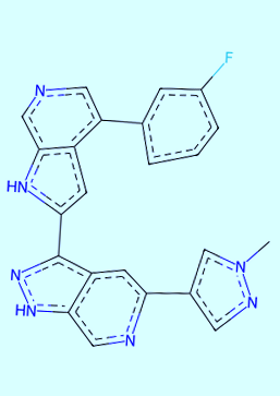 Cn1cc(-c2cc3c(-c4cc5c(-c6cccc(F)c6)cncc5[nH]4)n[nH]c3cn2)cn1